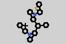 CC1(C)c2ccccc2-c2ccc(-n3c4ccccc4c4ccc(-c5cc(-c6ccccc6)cc(-c6ccc7c8ccccc8n(-c8cccc9c8sc8ccccc89)c7c6)c5)cc43)cc21